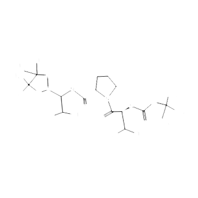 CC(C)C(NC(=O)[C@@H]1CCCN1C(=O)[C@@H](NC(=O)OC(C)(C)C)C(C)C)B1OC(C)(C)C(C)(C)O1